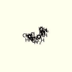 CN(C)c1nc(NC2CCC(NCc3c(C(=O)O)[nH]c4cc(Cl)cc(Cl)c34)CC2)nc2c1CCCC2